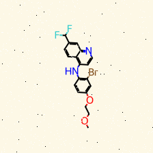 COCCOc1ccc(Nc2ccnc3cc(C(F)F)ccc23)c(Br)c1